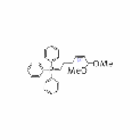 COC(/C=C\CCC=P(c1ccccc1)(c1ccccc1)c1ccccc1)OC